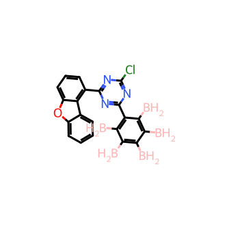 Bc1c(B)c(B)c(-c2nc(Cl)nc(-c3cccc4oc5ccccc5c34)n2)c(B)c1B